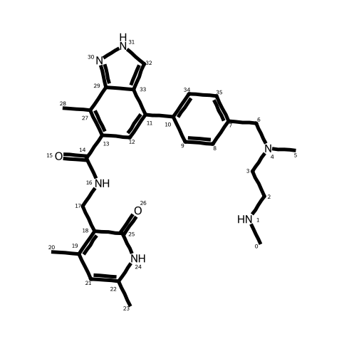 CNCCN(C)Cc1ccc(-c2cc(C(=O)NCc3c(C)cc(C)[nH]c3=O)c(C)c3n[nH]cc23)cc1